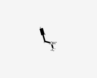 C#CC[OH+][CH2-]